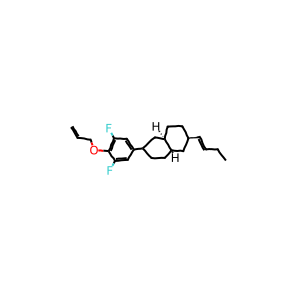 C=CCOc1c(F)cc(C2CC[C@@H]3C[C@H](C=CCC)CC[C@@H]3C2)cc1F